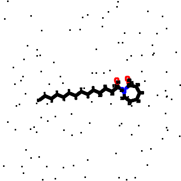 CCCCCCCCCCCCCC(=O)N1CCCCCC1=O